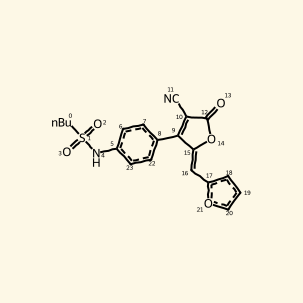 CCCCS(=O)(=O)Nc1ccc(C2=C(C#N)C(=O)OC2=Cc2ccco2)cc1